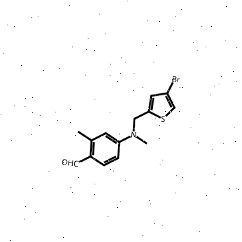 Cc1cc(N(C)Cc2cc(Br)cs2)ccc1C=O